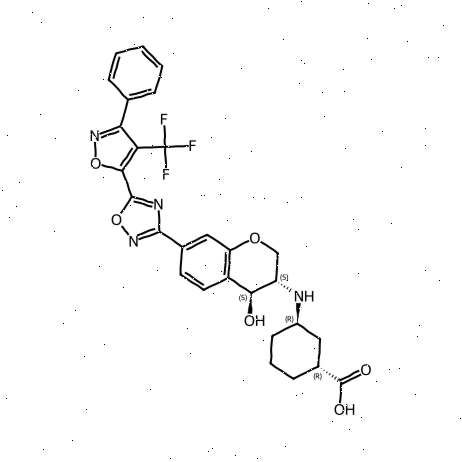 O=C(O)[C@@H]1CCC[C@@H](N[C@H]2COc3cc(-c4noc(-c5onc(-c6ccccc6)c5C(F)(F)F)n4)ccc3[C@@H]2O)C1